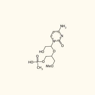 COCC(COP(C)(=O)O)OC(CO)n1ccc(N)nc1=O